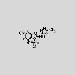 O=C(Nc1nnc(C(F)(F)F)s1)C1(c2ccc(Cl)cc2Cl)CC1(Cl)Cl